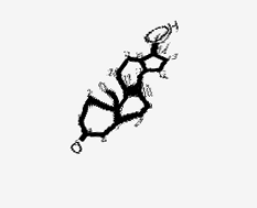 CC12CCC(=O)CC1=CCC1C3CCC(O)C3CCC12